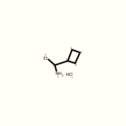 CCC(N)C1CCC1.Cl